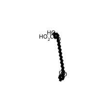 Cc1ccc(S(=O)(=O)CCCCCCCCCCCCCCCCCCOc2ccc(O)c(C(=O)O)c2)cc1